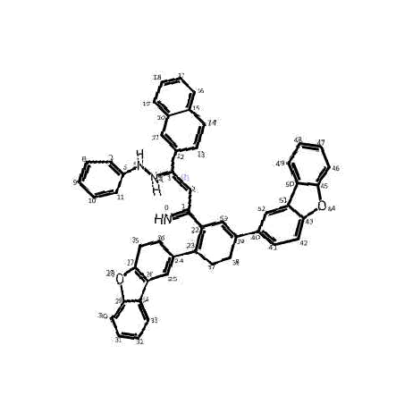 N=C(/C=C(\NNc1ccccc1)c1ccc2ccccc2c1)C1=C(C2=Cc3c(oc4ccccc34)CC2)CCC(c2ccc3oc4ccccc4c3c2)=C1